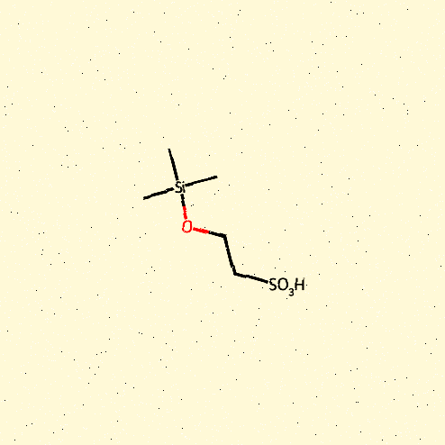 C[Si](C)(C)OCCS(=O)(=O)O